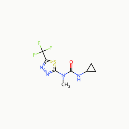 CN(C(=O)NC1CC1)c1nnc(C(F)(F)F)s1